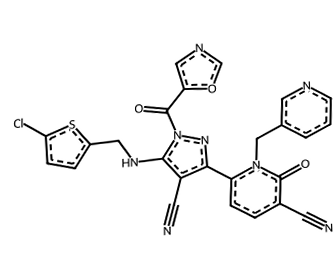 N#Cc1c(-c2ccc(C#N)c(=O)n2Cc2cccnc2)nn(C(=O)c2cnco2)c1NCc1ccc(Cl)s1